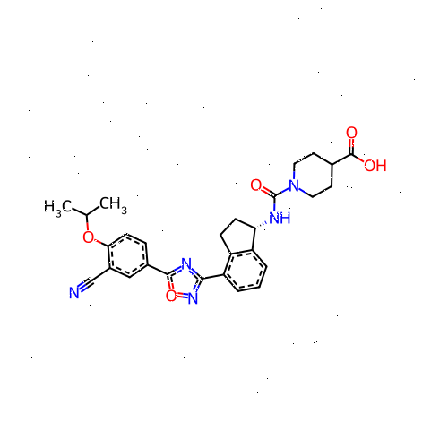 CC(C)Oc1ccc(-c2nc(-c3cccc4c3CC[C@@H]4NC(=O)N3CCC(C(=O)O)CC3)no2)cc1C#N